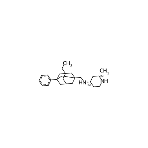 CCC12CC3CC(CN[C@H]4CCN[C@@H](C)C4)(C1)CC(c1ccccc1)(C3)C2